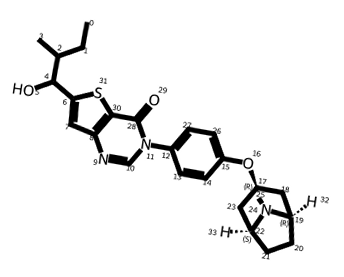 CCC(C)C(O)c1cc2ncn(-c3ccc(O[C@H]4C[C@H]5CC[C@@H](C4)N5C)cc3)c(=O)c2s1